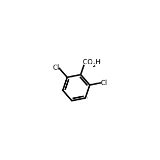 O=C(O)c1c(Cl)[c]ccc1Cl